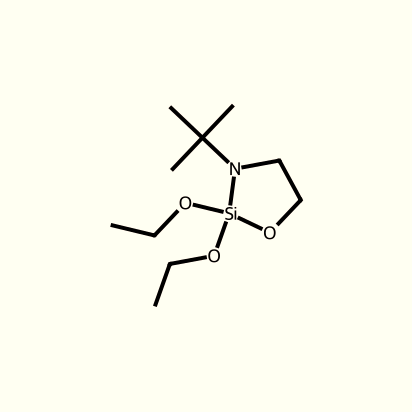 CCO[Si]1(OCC)OCCN1C(C)(C)C